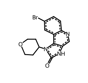 O=c1[nH]c2cnc3ccc(Br)cc3c2n1C1CCOCC1